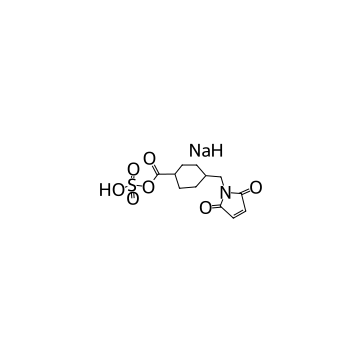 O=C(OS(=O)(=O)O)C1CCC(CN2C(=O)C=CC2=O)CC1.[NaH]